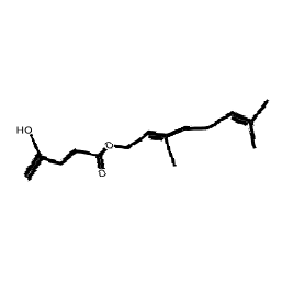 C=C(O)CCC(=O)OC/C=C(\C)CCC=C(C)C